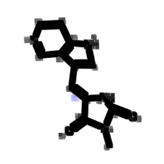 CN1C(=O)N/C(=C\c2c[nH]c3ccncc23)C1=O